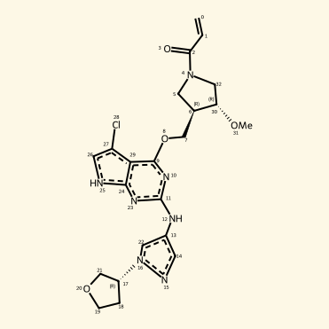 C=CC(=O)N1C[C@H](COc2nc(Nc3cnn([C@@H]4CCOC4)c3)nc3[nH]cc(Cl)c23)[C@@H](OC)C1